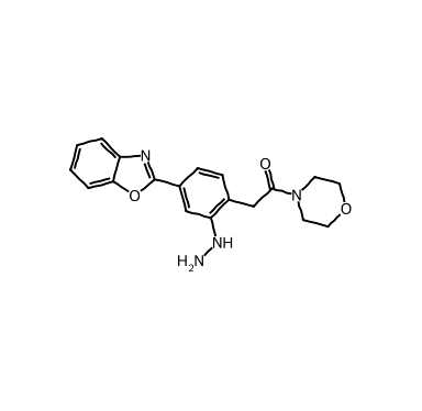 NNc1cc(-c2nc3ccccc3o2)ccc1CC(=O)N1CCOCC1